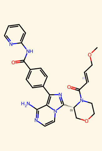 COC/C=C/C(=O)N1CCOC[C@@H]1c1nc(-c2ccc(C(=O)Nc3ccccn3)cc2)c2c(N)nccn12